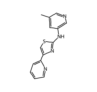 Cc1cncc(Nc2nc(-c3ccccn3)cs2)c1